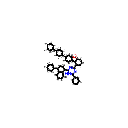 c1ccc(C2=NC(c3cccc4oc5cc(-c6ccc(-c7ccccc7)cc6)ccc5c34)=NC(c3ccc(-c4ccccc4)c4ccccc34)N2)cc1